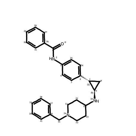 O=C(Nc1ccc([C@@H]2C[C@H]2NC2CCN(Cc3ccccc3)CC2)cc1)c1ccccc1